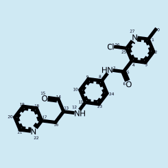 Cc1ccc(C(=O)Nc2ccc(NC(C=O)Cc3ccccn3)cc2)c(Cl)n1